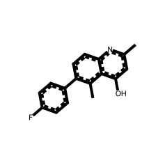 Cc1cc(O)c2c(C)c(-c3ccc(F)cc3)ccc2n1